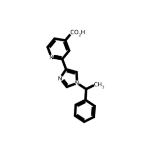 CC(c1ccccc1)n1cnc(-c2cc(C(=O)O)ccn2)c1